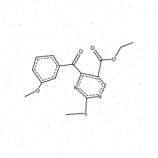 CCOC(=O)c1cnc(SC)nc1C(=O)c1cccc(OC)c1